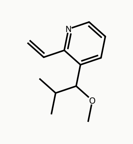 C=Cc1ncccc1C(OC)C(C)C